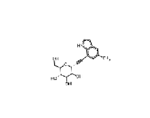 Cc1cc(C#C[C@H]2O[C@H](CO)[C@@H](O)[C@H](O)[C@@H]2O)c2[nH]ccc2c1